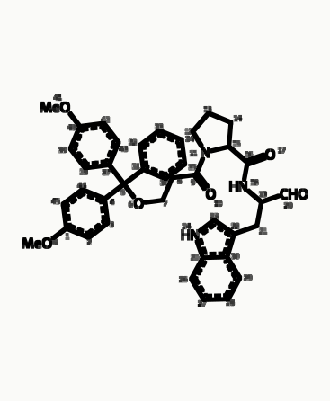 COc1ccc(C(OCCC(=O)N2CCCC2C(=O)NC(C=O)Cc2c[nH]c3ccccc23)(c2ccccc2)c2ccc(OC)cc2)cc1